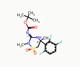 CN1/C(=N/C(=O)OC(C)(C)C)N[C@](C)(c2c(F)ccc(F)c2F)CS1(=O)=O